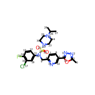 Cc1nnc(-c2ccc(CN(c3ccc(F)c(Cl)c3)S(=O)(=O)N3CCN(C(C)C)CC3)nc2)o1